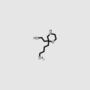 CCCCCC1(CCO)CNCCO1